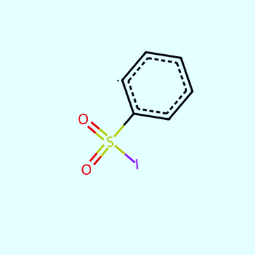 O=S(=O)(I)c1[c]cccc1